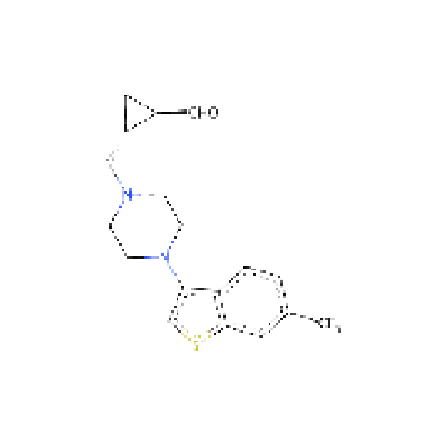 O=C[C@@H]1C[C@H]1CN1CCN(c2csc3cc(C(F)(F)F)ccc23)CC1